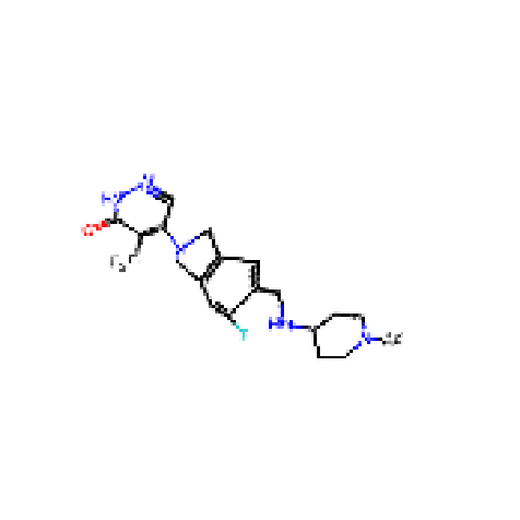 CC(=O)N1CCC(NCc2cc3c(cc2F)CN(c2cn[nH]c(=O)c2C(F)(F)F)C3)CC1